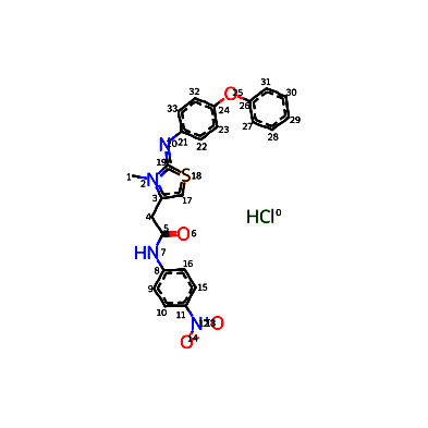 Cl.Cn1c(CC(=O)Nc2ccc([N+](=O)[O-])cc2)csc1=Nc1ccc(Oc2ccccc2)cc1